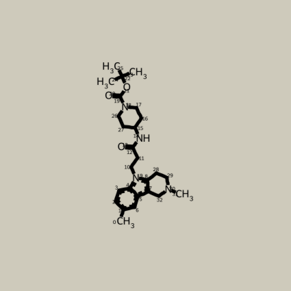 Cc1ccc2c(c1)c1c(n2CCC(=O)NC2CCN(C(=O)OC(C)(C)C)CC2)CCN(C)C1